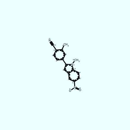 Cc1cc(-c2cc3cc([N+](=O)[O-])ccc3n2C)ccc1C#N